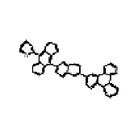 c1ccc(-c2c3ccccc3c(-c3ccc4cc(-c5ccc6c7ccccc7c7ccccc7c6c5)ccc4c3)c3ccccc23)nc1